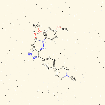 COc1ccc(-n2nc3c(-c4ccc(C5CCN(C)CC5)cc4)n[nH]c3cc2=O)c(OC)c1